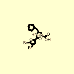 O=C(O)NCC(Cc1ccccc1)NC(=O)c1cc(Br)c(Br)o1